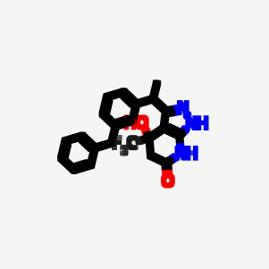 CC(c1cccc(Cc2ccccc2)c1)c1n[nH]c2c1C(O)(C(F)(F)F)CC(=O)N2